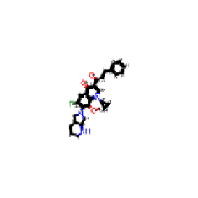 COc1c(N2CC3CCCNC3C2)c(F)cc2c(=O)c(C(=O)C=Cc3ccccc3)cn(C3CC3)c12